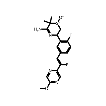 COc1cnc(/C(F)=C/c2ccc(F)c(C3C[S+]([O-])C(C)(C)C(N)=N3)c2)cn1